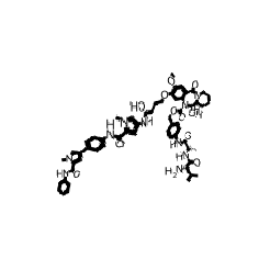 COc1cc2c(cc1OCCCC(O)Nc1cc(C(=O)Nc3ccc(-c4cc(C(=O)Nc5ccccc5)n(C)c4)cc3)n(C)c1)N(C(=O)OCc1ccc(NC(=O)[C@H](C)NC(=O)[C@@H](N)C(C)C)cc1)[C@@H](O)[C@@H]1CCCCN1C2=O